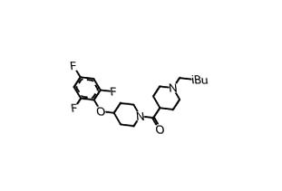 CCC(C)CN1CCC(C(=O)N2CCC(Oc3c(F)cc(F)cc3F)CC2)CC1